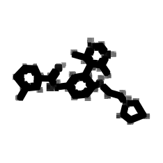 Cc1cccc(C(=O)Nc2ccc(OCCN3CCCC3)c(-c3c(C)ncnc3C)c2)c1